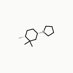 C[C@@H]1CC[C@H](N2CCCC2)CC1(C)C